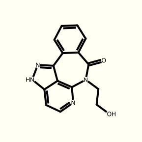 O=C1c2ccccc2-c2n[nH]c3ccnc(c23)N1CCO